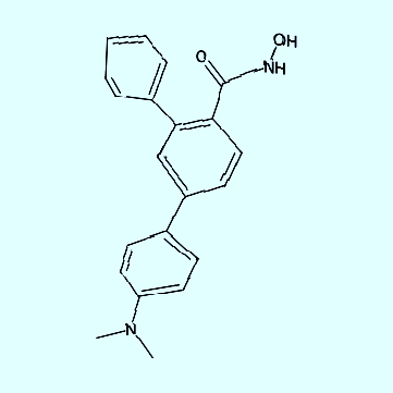 CN(C)c1ccc(-c2ccc(C(=O)NO)c(-c3ccccc3)c2)cc1